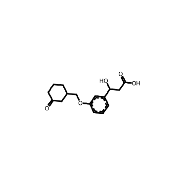 O=C(O)CC(O)c1cccc(OCC2CCCC(=O)C2)c1